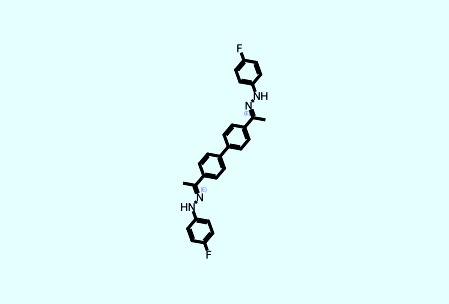 C/C(=N\Nc1ccc(F)cc1)c1ccc(-c2ccc(/C(C)=N/Nc3ccc(F)cc3)cc2)cc1